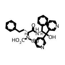 CC(C)(C)N(C(=O)O)[C@H](CCc1ccccc1)C(=O)N[C@H](c1ccccc1)C(O)(c1cccnc1)c1cccnc1